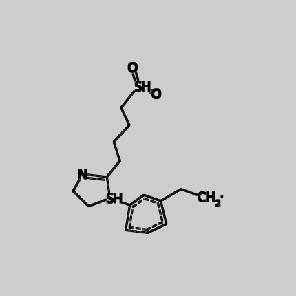 [CH2]Cc1cccc([SH]2CCN=C2CCCC[SH](=O)=O)c1